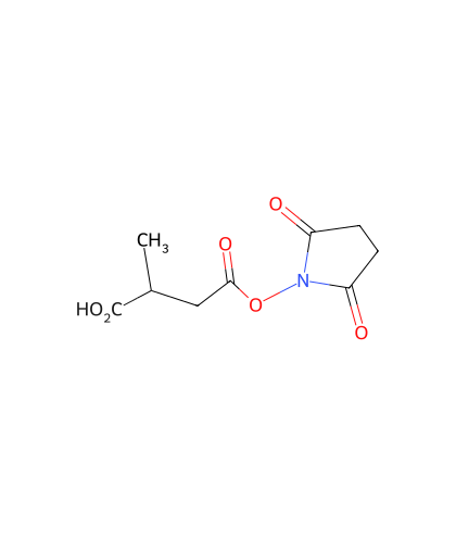 CC(CC(=O)ON1C(=O)CCC1=O)C(=O)O